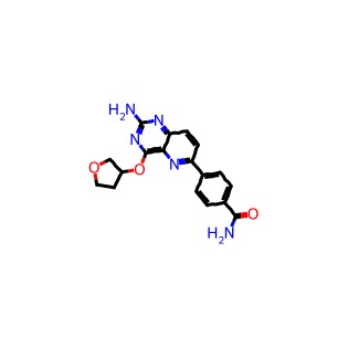 NC(=O)c1ccc(-c2ccc3nc(N)nc(OC4CCOC4)c3n2)cc1